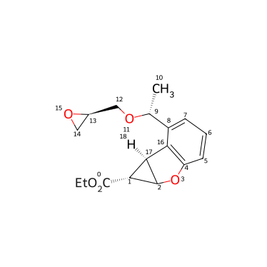 CCOC(=O)[C@H]1C2Oc3cccc([C@@H](C)OC[C@H]4CO4)c3[C@@H]21